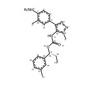 CC(=O)Nc1ccc(-c2nnn(C)c2NC(=O)O[C@H](CF)c2cccc(C)c2)nc1C